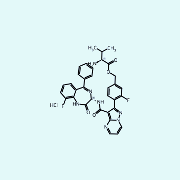 CC(C)[C@H](N)C(=O)OCc1ccc(-c2nn3cccnc3c2C(=O)N[C@H]2N=C(c3ccccc3)c3cccc(F)c3NC2=O)c(F)c1.Cl